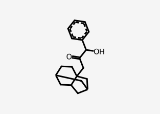 O=C(CC12CCC3CC(CC1C3)C2)C(O)c1ccccc1